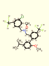 COc1ccc(C(C)C)cc1-c1ccc(C(F)(F)F)cc1CN(Cc1cc(Cl)cc(C(F)(F)F)c1)OC